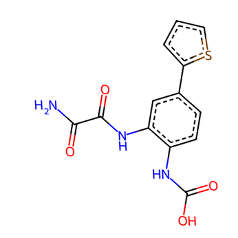 NC(=O)C(=O)Nc1cc(-c2cccs2)ccc1NC(=O)O